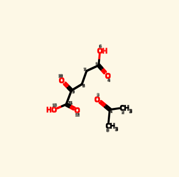 CC(C)=O.O=C(O)CCC(=O)C(=O)O